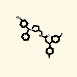 CC(C)(C)c1ccc(C(c2ccccc2)N2CCC(CNC(=O)CC(c3ccc(F)cc3)c3ccc(F)cc3)C2)cc1